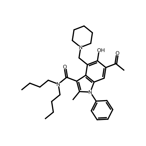 CCCCN(CCCC)C(=O)c1c(C)n(-c2ccccc2)c2cc(C(C)=O)c(O)c(CN3CCCCC3)c12